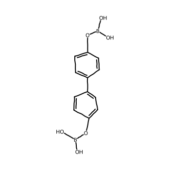 OB(O)Oc1ccc(-c2ccc(OB(O)O)cc2)cc1